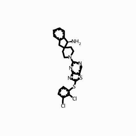 N[C@@H]1c2ccccc2CC12CCN(c1ncc3sc(Sc4cccc(Cl)c4Cl)nc3n1)CC2